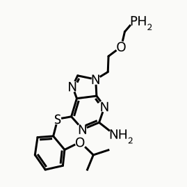 CC(C)Oc1ccccc1Sc1nc(N)nc2c1ncn2CCOCP